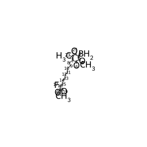 BC1=C(OC)C(=O)C(CCCCCCCCC(F)C(=O)OC)=C(C)C1=O